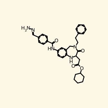 NN=Cc1ccc(C(=O)Nc2ccc3c(c2)CN(CCc2ccccc2)C(=O)C(CC(=O)OC2CCCCC2)N3)cc1